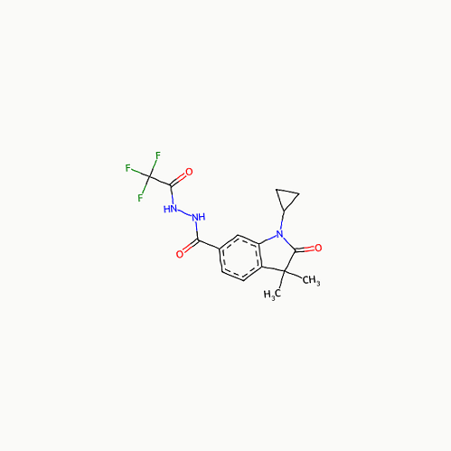 CC1(C)C(=O)N(C2CC2)c2cc(C(=O)NNC(=O)C(F)(F)F)ccc21